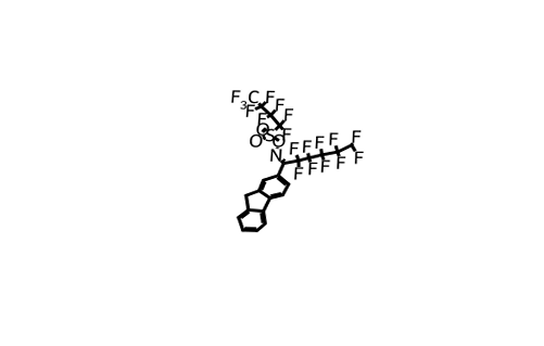 O=S(=O)(ON=C(c1ccc2c(c1)Cc1ccccc1-2)C(F)(F)C(F)(F)C(F)(F)C(F)(F)C(F)F)C(F)(F)C(F)(F)C(F)(F)C(F)(F)F